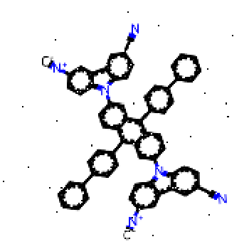 [C-]#[N+]c1ccc2c(c1)c1cc(C#N)ccc1n2-c1ccc2c(-c3ccc(-c4ccccc4)cc3)c3cc(-n4c5ccc(C#N)cc5c5cc([N+]#[C-])ccc54)ccc3c(-c3ccc(-c4ccccc4)cc3)c2c1